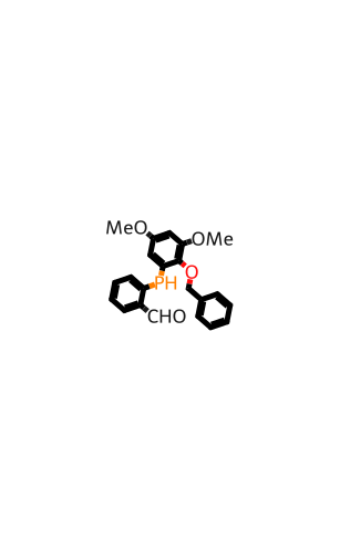 COc1cc(OC)c(OCc2ccccc2)c(Pc2ccccc2C=O)c1